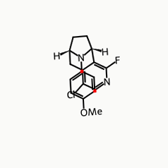 COc1ccc(N2[C@H]3CC[C@@H]2c2c(F)ncc(Cl)c2C3)cc1